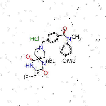 CCCCN1C(=O)[C@H](CC(C)C)NC(=O)C12CCN(Cc1ccc(C(=O)N(C)c3ccc(OC)cc3)cc1)CC2.Cl